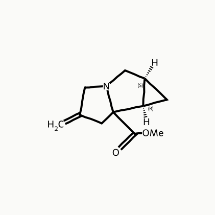 C=C1CN2C[C@H]3C[C@H]3C2(C(=O)OC)C1